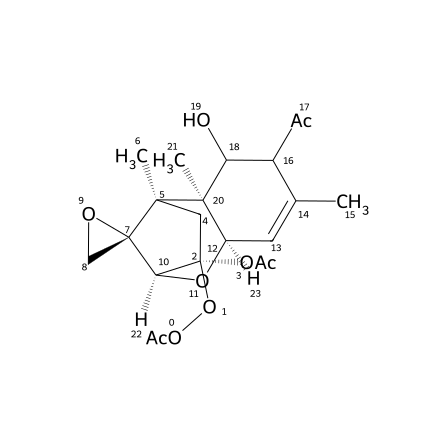 CC(=O)OO[C@]1(OC(C)=O)C[C@@]2(C)[C@]3(CO3)[C@@H]1O[C@@H]1C=C(C)C(C(C)=O)C(O)[C@@]12C